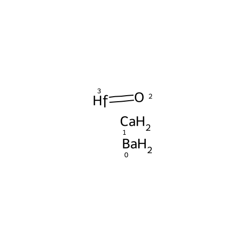 [BaH2].[CaH2].[O]=[Hf]